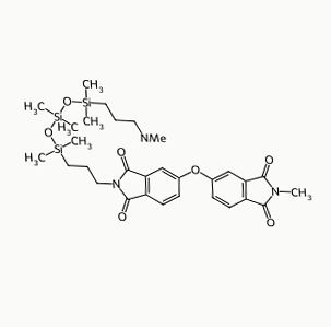 CNCCC[Si](C)(C)O[Si](C)(C)O[Si](C)(C)CCCN1C(=O)c2ccc(Oc3ccc4c(c3)C(=O)N(C)C4=O)cc2C1=O